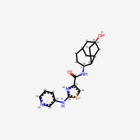 O=C(N[C@H]1CCC2CC3C[C@@](O)(C2)CC31)c1csc(Nc2cccnc2)n1